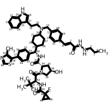 CCCNNC(=O)/C=C/c1ccc(CN(CCc2c[nH]c3ccccc23)C2CCC([C@H](NC(=O)[C@@H]3C[C@@H](O)CN3C(=O)[C@@H](NC(=O)C3(F)CC3)C(C)(C)C)c3ccc(-c4scnc4C)cc3)CC2)cc1